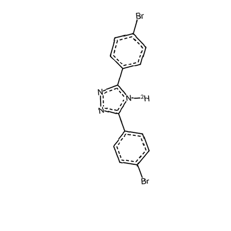 [2H]n1c(-c2ccc(Br)cc2)nnc1-c1ccc(Br)cc1